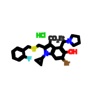 CCOC(=O)c1c(CSCc2ccccc2F)n(C2CC2)c2cc(Br)c(O)c(CN3CCCC3)c12.Cl